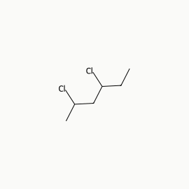 CCC(Cl)CC(C)Cl